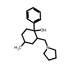 CC1CCC(O)(c2ccccc2)C(CN2CCCC2)C1